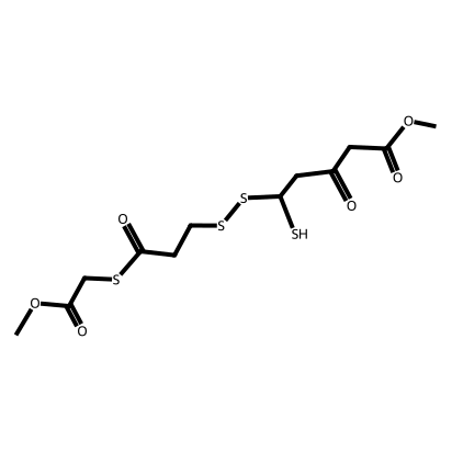 COC(=O)CSC(=O)CCSSC(S)CC(=O)CC(=O)OC